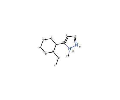 CCC1CCCCC1c1ccnn1C